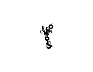 CCOC(=O)c1cn(-c2ccc(-c3cc4nccc(C)c4o3)cc2)nc1N(CC)C(=O)[C@H]1CC[C@H](C)CC1